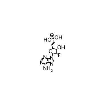 Nc1ncnc2c1ncn2C1OC(C=CP(=O)(O)O)C(O)C1F